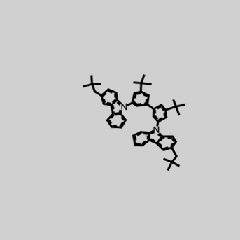 CC(C)(C)Cc1ccc2c(c1)c1ccccc1n2-c1cc(-c2cc(-n3c4ccccc4c4cc(CC(C)(C)C)ccc43)cc(C(C)(C)C)c2)cc(C(C)(C)C)c1